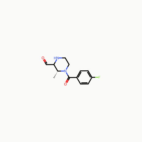 C[C@@H]1C(C=O)NCCN1C(=O)c1ccc(F)cc1